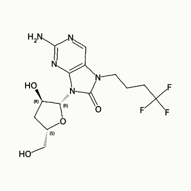 Nc1ncc2c(n1)n([C@@H]1O[C@H](CO)C[C@H]1O)c(=O)n2CCCC(F)(F)F